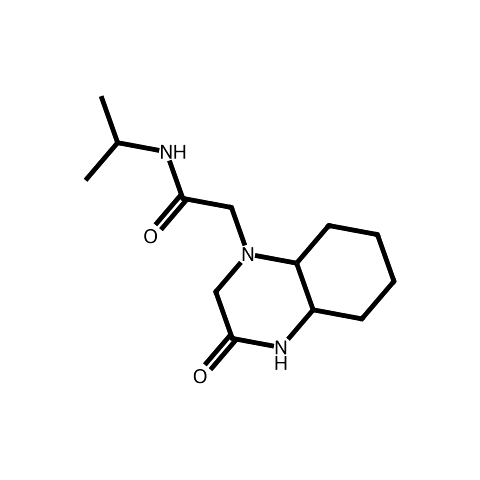 CC(C)NC(=O)CN1CC(=O)NC2CCCCC21